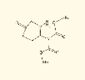 CC(C)(C)OC(=O)N(C(=O)OC(C)(C)C)C1CCC(=O)CC1N